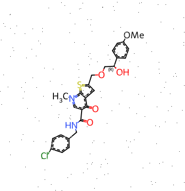 COc1ccc([C@@H](O)COCc2cc3c(=O)c(C(=O)NCc4ccc(Cl)cc4)cn(C)c3s2)cc1